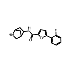 O=C(NC1CC2CC1CN2)c1ccc(-c2ccccc2F)o1